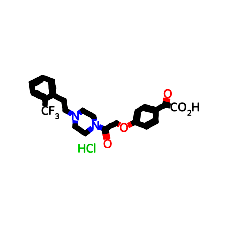 Cl.O=C(O)C(=O)c1ccc(OCC(=O)N2CCN(CCc3ccccc3C(F)(F)F)CC2)cc1